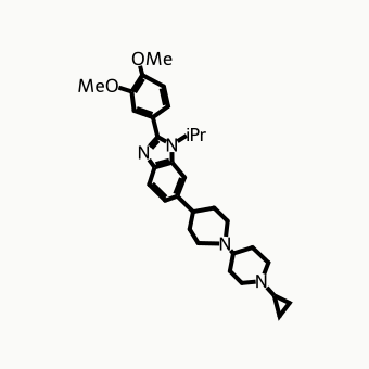 COc1ccc(-c2nc3ccc(C4CCN(C5CCN(C6CC6)CC5)CC4)cc3n2C(C)C)cc1OC